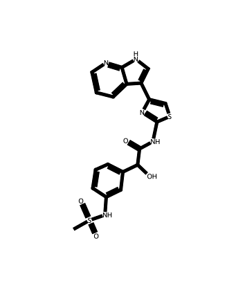 CS(=O)(=O)Nc1cccc(C(O)C(=O)Nc2nc(-c3c[nH]c4ncccc34)cs2)c1